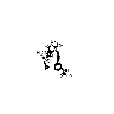 CCCC(=O)Nc1cccc(C#CCN2c3nc(S(=O)(=O)CC4CC4)n(C)c3C(=O)N(C)C2O)c1